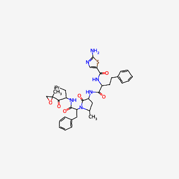 CC(C)CC(NC(=O)C(Cc1ccccc1)N1C(=O)C(NC(=O)C(CCc2ccccc2)NC(=O)c2cnc(N)s2)CC1C)C(=O)C1(C)CO1